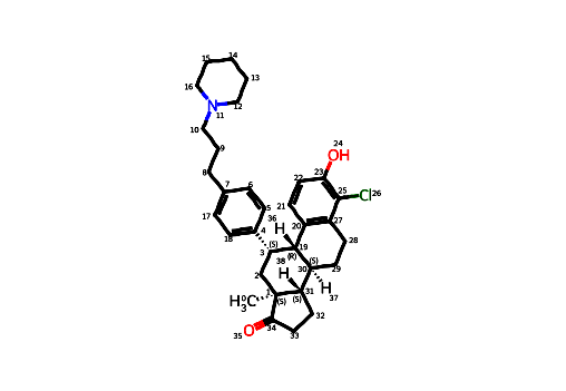 C[C@]12C[C@H](c3ccc(CCCN4CCCCC4)cc3)[C@@H]3c4ccc(O)c(Cl)c4CC[C@H]3[C@@H]1CCC2=O